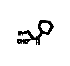 CC(C)C[C@@H](C=O)NC1CCCCC1